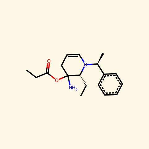 CCC(=O)OC1(N)CC=CN([C@@H](C)c2ccccc2)[C@@H]1CC